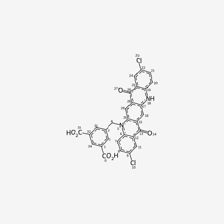 O=C(O)c1cc(Cn2c3ccc(Cl)cc3c(=O)c3cc4[nH]c5ccc(Cl)cc5c(=O)c4cc32)cc(C(=O)O)c1